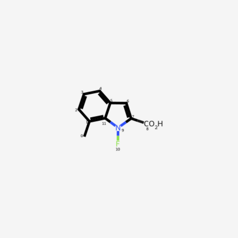 Cc1cccc2cc(C(=O)O)n(F)c12